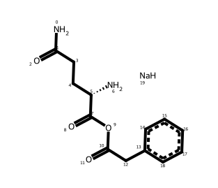 NC(=O)CC[C@H](N)C(=O)OC(=O)Cc1ccccc1.[NaH]